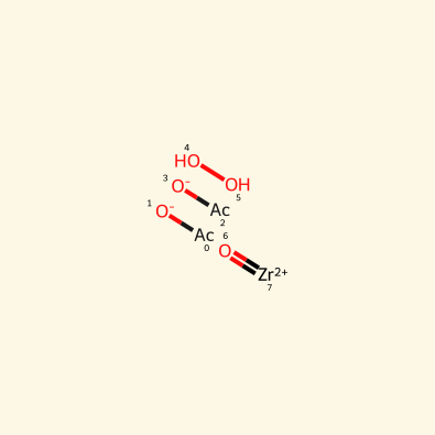 CC(=O)[O-].CC(=O)[O-].OO.[O]=[Zr+2]